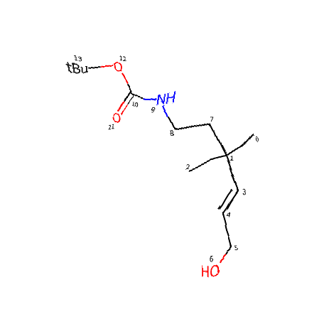 CC(C)(C=CCO)CCNC(=O)OC(C)(C)C